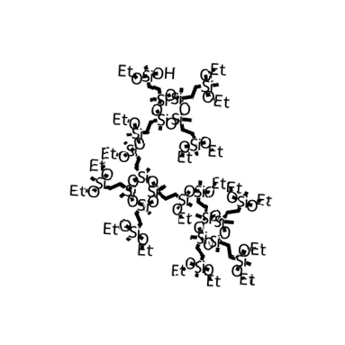 CCO[Si](C)(O)CC[Si]1(C)O[Si](C)(CC[Si](C)(OCC)OCC)O[Si](C)(CC[Si](C)(OCC)OCC)O[Si](C)(CC[Si](C)(OCC)O[Si](C)(CC[Si]2(C)O[Si](C)(CC[Si](C)(OCC)OCC)O[Si](C)(CC[Si](C)(OCC)OCC)O[Si](C)(CC[Si](C)(OCC)O[Si](C)(CC[Si]3(C)O[Si](C)(CC[Si](C)(OCC)OCC)O[Si](C)(CC[Si](C)(OCC)OCC)O[Si](C)(CC[Si](C)(OCC)OCC)O3)OCC)O2)OCC)O1